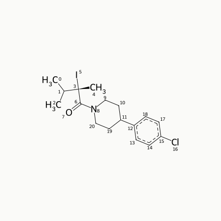 CC(C)[C@](C)(I)C(=O)N1CCC(c2ccc(Cl)cc2)CC1